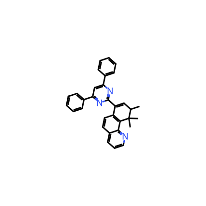 CC1C=C(c2nc(-c3ccccc3)cc(-c3ccccc3)n2)c2ccc3cccnc3c2C1(C)C